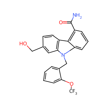 NC(=O)c1cccc2c1c1[c]cc(CO)cc1n2Cc1ccccc1OC(F)(F)F